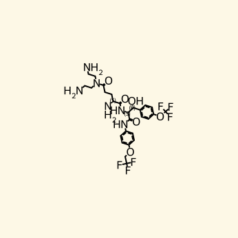 NCCN(CCN)C(=O)CC[C@H](N)C(=O)N[C@H](C(=O)Nc1ccc(OCC(F)(F)F)cc1)[C@H](O)c1ccc(OC(F)(F)F)cc1